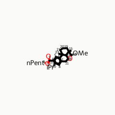 CCCCCOC(=O)c1cc2c(cc1C(C)C)CCC1C(C)(C(=O)OC)CCCC21C